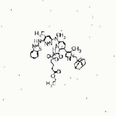 CCOC(=O)CCCS(=O)(=O)NC(=O)c1nc(N(C)c2cc(C)c(Nc3nc4ccccc4s3)nn2)ccc1-c1cnn(CC23CC4CC(CC(C4)C2)C3)c1C